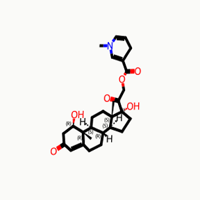 CN1C=CCC(C(=O)OCC(=O)[C@@]2(O)CC[C@H]3[C@@H]4CCC5=CC(=O)C[C@@H](O)[C@]5(C)[C@H]4CC[C@@]32C)=C1